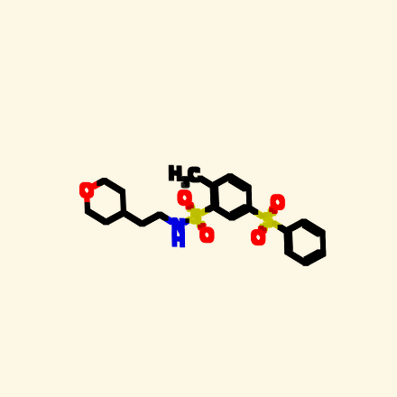 Cc1ccc(S(=O)(=O)c2ccccc2)cc1S(=O)(=O)NCCC1CCOCC1